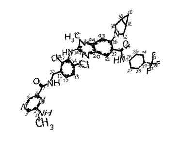 CNc1cncc(C(=O)NCc2ccc(Cl)c(Nc3nc4cc(C(=O)N[C@H]5CC[C@H](C(F)(F)F)CC5)c(N5CC6CC6C5)cc4n3C)c2Cl)n1